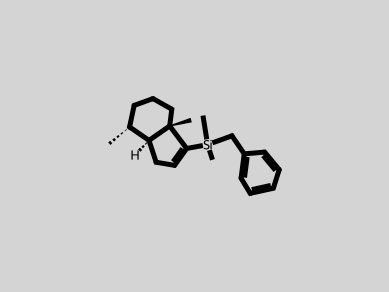 C[C@@H]1CCC[C@]2(C)C([Si](C)(C)Cc3ccccc3)=CC[C@@H]12